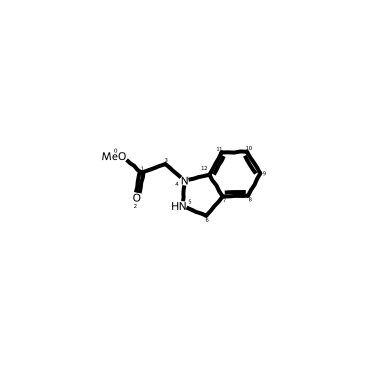 COC(=O)CN1NCc2ccccc21